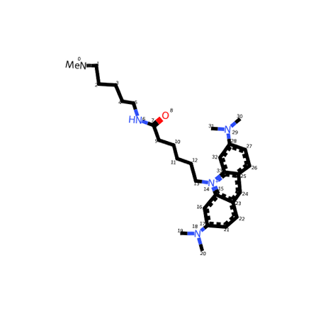 CNCCCCCNC(=O)CCCCC[n+]1c2cc(N(C)C)ccc2cc2ccc(N(C)C)cc21